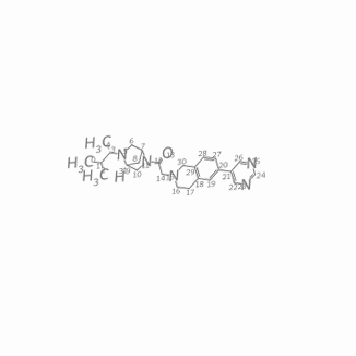 CC(C)[C@H](C)N1CC2C[C@H]1CN2C(=O)CN1CCc2cc(-c3cncnc3)ccc2C1